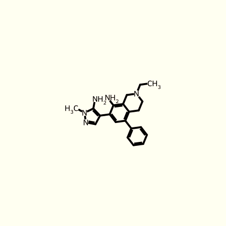 CCN1CCc2c(-c3ccccc3)cc(-c3cnn(C)c3N)c(N)c2C1